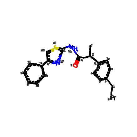 CC(C)Cc1ccc(C(C)C(=O)Nc2nc(-c3ccccc3)cs2)cc1